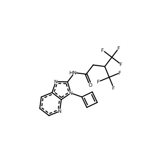 O=C(CC(C(F)(F)F)C(F)(F)F)Nc1nc2cccnc2n1C1=CC=C1